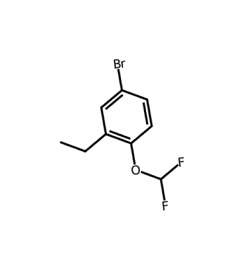 CCc1cc(Br)ccc1OC(F)F